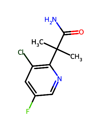 CC(C)(C(N)=O)c1ncc(F)cc1Cl